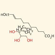 C=C.C=C.CCCCCCCCC=CCCCCCCCC(=O)O.OCC(O)CO